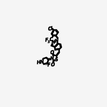 O=C1SC(=Cc2ccc3c(cnn3Cc3ccc(Cl)cc3C(F)(F)F)c2)C(=O)N1[C@@H]1CCNC[C@@H]1F